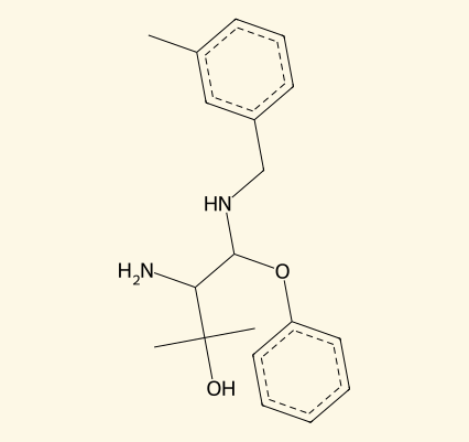 Cc1cccc(CNC(Oc2ccccc2)C(N)C(C)(C)O)c1